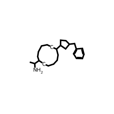 CC(N)C1CCCCCC(C2CCC(Cc3ccccc3)C2)CCCCC1